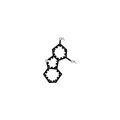 Cc1cc(C)c2c(c1)oc1ccccc12